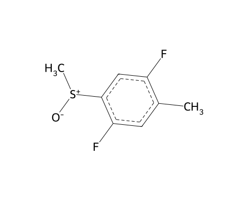 Cc1cc(F)c([S+](C)[O-])cc1F